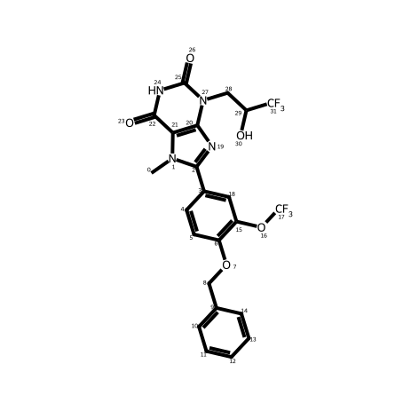 Cn1c(-c2ccc(OCc3ccccc3)c(OC(F)(F)F)c2)nc2c1c(=O)[nH]c(=O)n2CC(O)C(F)(F)F